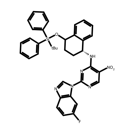 CC(C)(C)[Si](OC1CC[C@@H](Nc2nc(-n3cnc4ccc(F)cc43)ncc2[N+](=O)[O-])c2ccccc21)(c1ccccc1)c1ccccc1